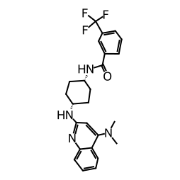 CN(C)c1cc(N[C@H]2CC[C@@H](NC(=O)c3cccc(C(F)(F)F)c3)CC2)nc2ccccc12